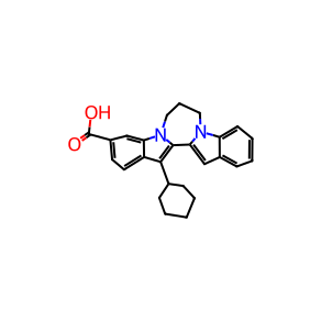 O=C(O)c1ccc2c(C3CCCCC3)c3n(c2c1)CCCn1c-3cc2ccccc21